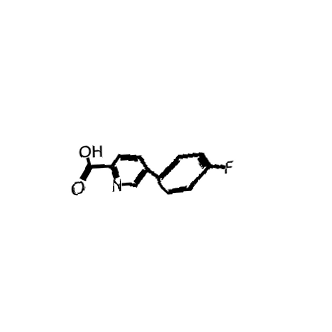 O=C(O)c1ccc(-c2ccc(F)cc2)cn1